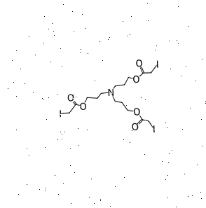 O=C(CI)OCCCN(CCCOC(=O)CI)CCCOC(=O)CI